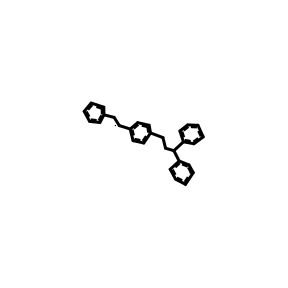 [CH](Cc1ccccc1)c1ccc(CCC(c2ccccc2)c2ccccc2)cc1